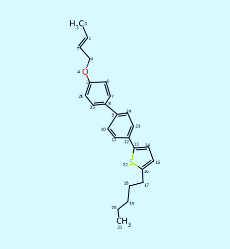 C/C=C/COc1ccc(-c2ccc(-c3ccc(CCCCC)s3)cc2)cc1